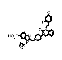 O=C(O)c1ccc2nc(CN3CCC(N4Cc5ccccc5N(CCc5ccc(Cl)cc5F)C4=O)CC3)n(C[C@@H]3CCO3)c2c1